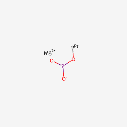 CCCOP([O-])[O-].[Mg+2]